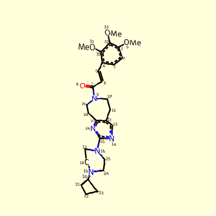 COc1ccc(C=CC(=O)N2CCc3cnc(N4CCN(C5CCC5)CC4)nc3CC2)c(OC)c1OC